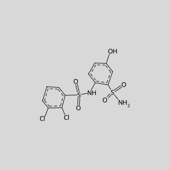 NS(=O)(=O)c1cc(O)ccc1NS(=O)(=O)c1cccc(Cl)c1Cl